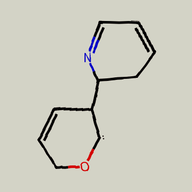 [C]1OCC=CC1C1CC=CC=N1